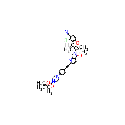 CC(C)(C)OC(=O)N1CCN(c2ccc(C#Cc3ccc4c(n3)CN([C@H]3C(C)(C)[C@H](Oc5ccc(C#N)c(Cl)c5)C3(C)C)C4=O)cc2)CC1